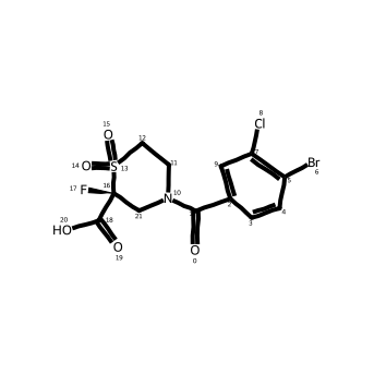 O=C(c1ccc(Br)c(Cl)c1)N1CCS(=O)(=O)[C@@](F)(C(=O)O)C1